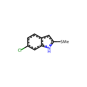 CSc1cc2ccc(Cl)cc2[nH]1